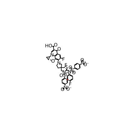 COc1c(N2CCC(CF)(CN(C(=S)N(c3ccc(F)cc3)S(=O)(=O)c3ccc([N+](=O)[O-])cc3)S(=O)(=O)c3ccc([N+](=O)[O-])cc3)C2)c(F)cc2c(=O)c(C(=O)O)cn(C3CC3)c12